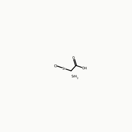 O=C(O)[CH2][Sr][Cl].[SrH2]